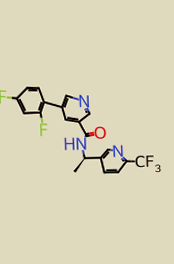 C[C@@H](NC(=O)c1cncc(-c2ccc(F)cc2F)c1)c1ccc(C(F)(F)F)nc1